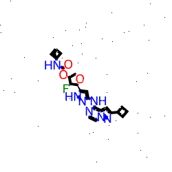 O=C(NC12CC(C1)C2)O[C@H]1CO[C@@H](c2cc(Nc3nccn4nc(C5CCC5)cc34)n[nH]2)[C@@H]1F